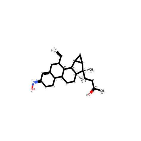 C=CC1CC2=C/C(=N/O)CCC2C2CC[C@@]3(C)C(C4CC4[C@@]3(C)CCC(C)=O)C12